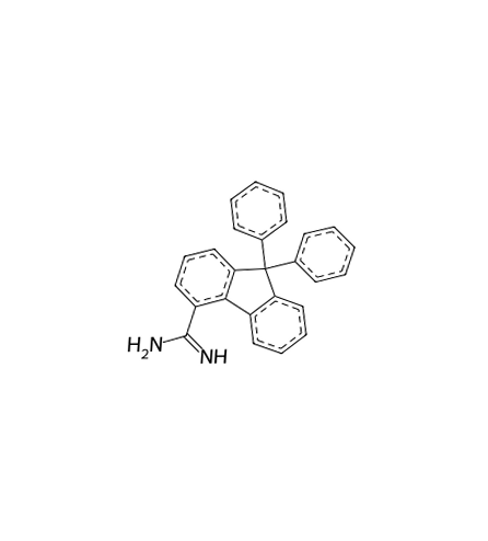 N=C(N)c1cccc2c1-c1ccccc1C2(c1ccccc1)c1ccccc1